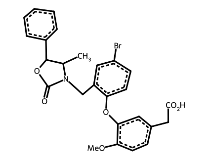 COc1ccc(CC(=O)O)cc1Oc1ccc(Br)cc1CN1C(=O)OC(c2ccccc2)C1C